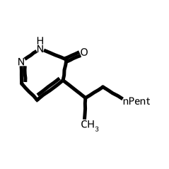 CCCCCCC(C)c1ccn[nH]c1=O